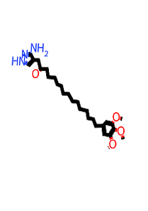 COc1cc(CCCCCCCCCCCCCCC(=O)Cc2c[nH]nc2N)cc(OC)c1OC